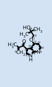 C=C(C)C(=O)c1c[nH]c2nccc(OCC(C)(C)O)c12